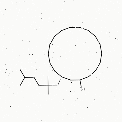 CC(C)CCC(C)(C)C[C@@H]1CCCCCCCCCCCCCCCC(S)C1